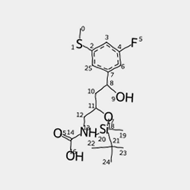 CSc1cc(F)cc(C(O)CC(CNC(=O)O)O[Si](C)(C)C(C)(C)C)c1